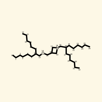 CCCCCCC(CCCCCC)COCC1CN(CC(CCCCCC)CCCCCC)C1